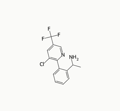 CC(N)c1ccccc1-c1ncc(C(F)(F)F)cc1Cl